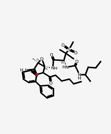 CCCCCC(=O)[C](c1ccccc1-c1ccccc1)[C@]1(NC(=O)[C@@H](NC(=O)NC(C)CCC)C(C)(C)S(C)(=O)=O)O[C@]1(C)C(N)=O